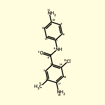 Cc1cc(C(=O)Nc2ccc(N)cc2)c(Cl)cc1N